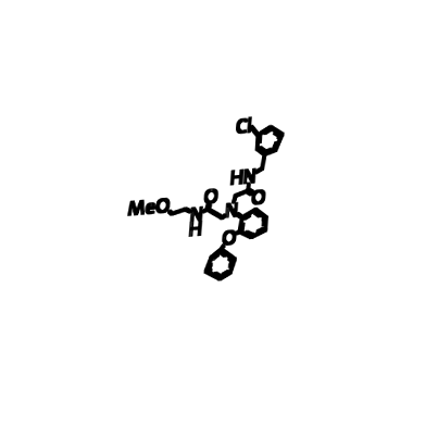 COCCNC(=O)CN(CC(=O)NCc1cccc(Cl)c1)c1ccccc1Oc1ccccc1